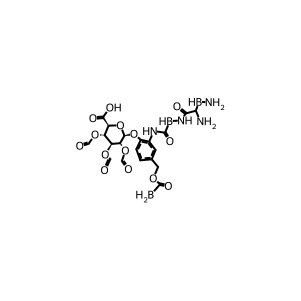 BC(=O)OCc1ccc(O[C@@H]2O[C@H](C(=O)O)[C@@H](OC=O)[C@H](OC=O)[C@H]2OC=O)c(NC(=O)BNC(=O)C(N)BN)c1